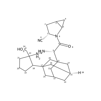 N#C[C@@H]1CC2CC2N1C(=O)[C@@H](N)C12CC3C[C@@H](CC(C4CCCC4(N)C(=O)O)(C3)C1)C2